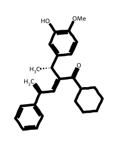 C=C(/C=C(/C(=O)C1CCCCC1)[C@H](C)c1ccc(OC)c(O)c1)c1ccccc1